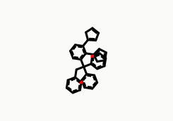 C1=CCC(c2cccc(C(Cc3ccccc3)(c3ccccc3)c3ccccc3)c2C2=CC=CC2)=C1